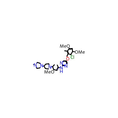 COC1=CC(OC)C(Cl)C(COc2cnc(N/C(C)=C/C(OC)C(C)N3CCC(N4CCN(C)CC4)CC3)nc2)=C1C